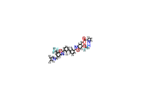 Cc1c(-c2nc3cc(COC(=O)[C@@H]4CCCN4)c(OC(F)F)cc3o2)cccc1-c1cccc(-c2nc3cc(CN4CC(C)C(C)C4)cc(C(F)(F)F)c3o2)c1C